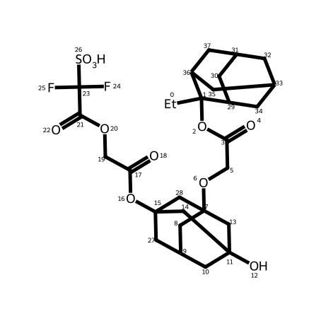 CCC1(OC(=O)COC23CC4CC(O)(C2)CC(OC(=O)COC(=O)C(F)(F)S(=O)(=O)O)(C4)C3)C2CC3CC(C2)CC1C3